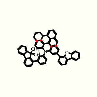 CC1(C)c2ccccc2-c2cccc(-c3cccc(N(c4cccc(-c5cccc6c5oc5ccccc56)c4)c4ccccc4-c4cccc5cccc(C6CCCCC6)c45)c3)c21